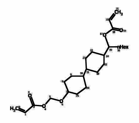 C=CC(=O)OCOC1CCC(C2CCC(C(CCCCCC)OC(=O)C=C)CC2)CC1